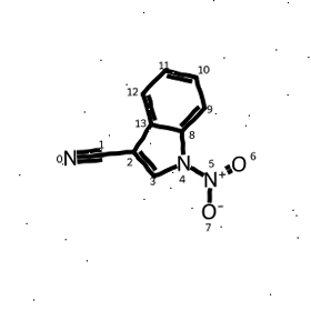 N#Cc1cn([N+](=O)[O-])c2ccccc12